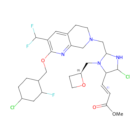 COC(=O)/C=C/C1C(Cl)NC(CN2CCc3cc(C(F)F)c(OCC4CCC(Cl)CC4F)nc3C2)N1C[C@@H]1CCO1